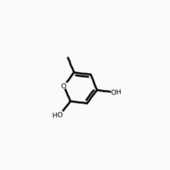 CC1=CC(O)=CC(O)O1